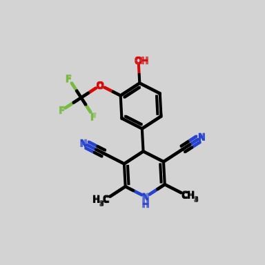 CC1=C(C#N)C(c2ccc(O)c(OC(F)(F)F)c2)C(C#N)=C(C)N1